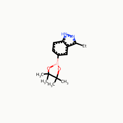 CCc1n[nH]c2ccc(B3OC(C)(C)C(C)(C)O3)cc12